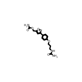 NC(=O)NCCCOc1ccc(-c2cc(COC(N)=O)on2)cc1